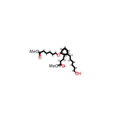 COC(=O)CCCCCOc1cccc(CCCCCCO)c1CCC(=O)OC